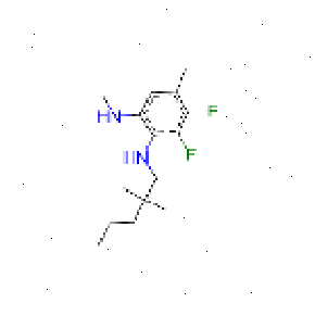 CCCC(C)(C)CNc1c(NC)cc(C)c(F)c1F